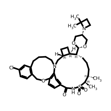 C[C@@H]1[C@@H](C)CCC[C@@H]([C@H]2OC[C@@H](N3CCC3(C)C)CO2)[C@@H]2CC[C@H]2CN2CCCCc3cc(Cl)ccc3COc3ccc(cc32)C(=O)NS1(=O)=O